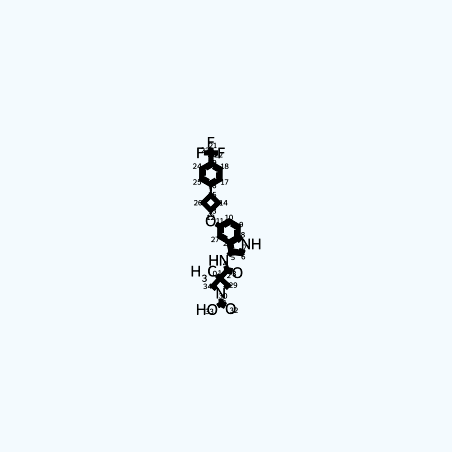 CC1(C(=O)Nc2c[nH]c3ccc(O[C@H]4C[C@H](c5ccc(C(F)(F)F)cc5)C4)cc23)CN(C(=O)O)C1